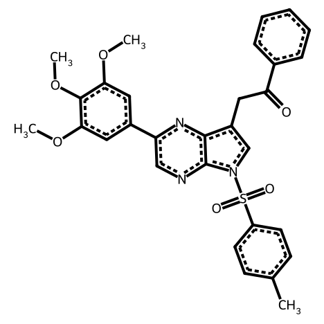 COc1cc(-c2cnc3c(n2)c(CC(=O)c2ccccc2)cn3S(=O)(=O)c2ccc(C)cc2)cc(OC)c1OC